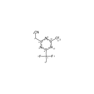 CC(F)(F)c1nc(CC#N)nc(C(F)(F)F)n1